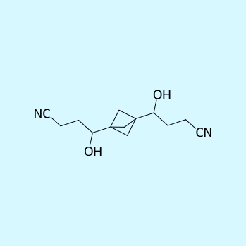 N#CCCC(O)C12CC(C(O)CCC#N)(C1)C2